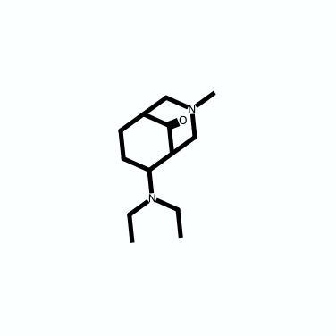 CCN(CC)C1CCC2CN(C)CC1C2=O